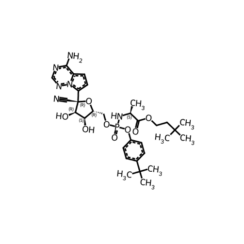 C[C@H](NP(=O)(OC[C@H]1O[C@@](C#N)(c2ccc3c(N)ncnn23)[C@H](O)[C@@H]1O)Oc1ccc(C(C)(C)C)cc1)C(=O)OCCC(C)(C)C